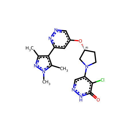 Cc1nn(C)c(C)c1-c1cc(O[C@@H]2CCN(c3cn[nH]c(=O)c3Cl)C2)cnn1